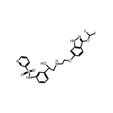 O=S(=O)(Nc1cccc(C(O)CNCCOc2ccc3c(OC(F)F)n[nH]c3c2)c1)c1cccnc1